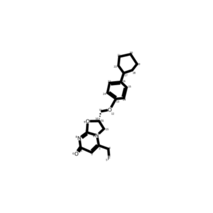 O=c1cc(CF)n2c(n1)O[C@H](COc1ccc(C3CCCCC3)cc1)C2